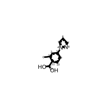 Cc1cc(-n2cccn2)ccc1C(O)O